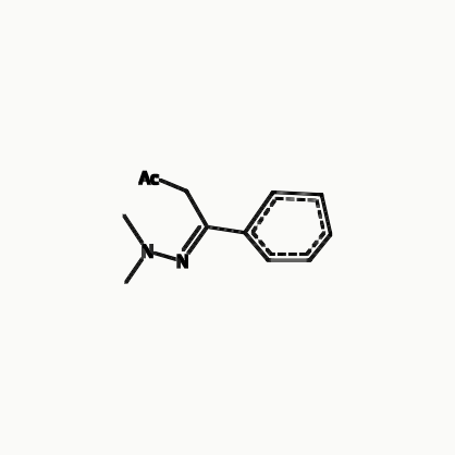 CC(=O)CC(=NN(C)C)c1ccccc1